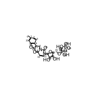 Cc1ccc2c(Cn3c(=O)ccn([C@@H]4O[C@H](COP(=O)(O)OP(=O)(O)O)[C@H](O)C4O)c3=O)noc2c1